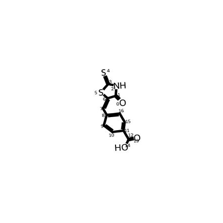 O=C1NC(=S)S/C1=C/c1ccc(C(=O)O)cc1